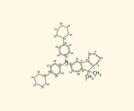 CC1(C)c2ccccc2-c2cc(N(c3ccc(C4CCCCC4)cc3)c3ccc(C4CCCCC4)cc3)ccc21